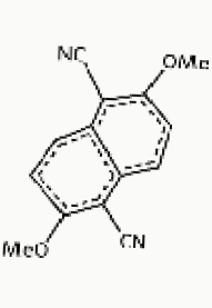 COc1ccc2c(C#N)c(OC)ccc2c1C#N